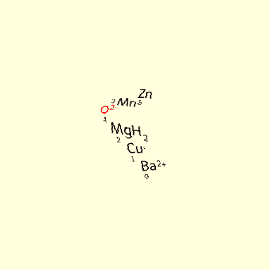 [Ba+2].[Cu].[MgH2].[Mn].[O-2].[Zn]